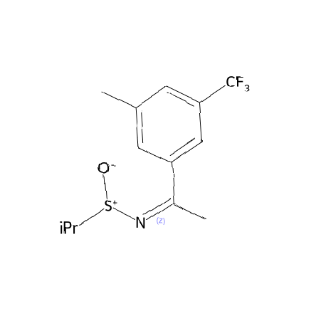 C/C(=N/[S+]([O-])C(C)C)c1cc(C)cc(C(F)(F)F)c1